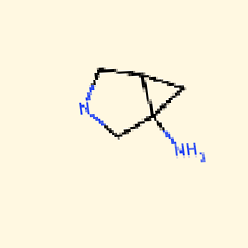 NC12C[N]CC1C2